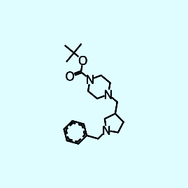 CC(C)(C)OC(=O)N1CCN(CC2CCN(Cc3ccccc3)C2)CC1